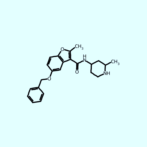 Cc1oc2ccc(OCc3ccccc3)cc2c1C(=O)NC1CCNC(C)C1